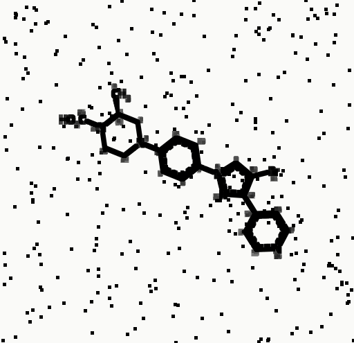 C[C@H]1CN(c2ccc(-n3cc(Br)c(-c4ccncc4)n3)cc2)CCN1C(=O)O